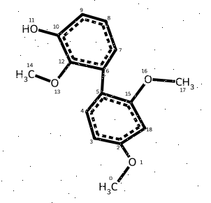 COc1ccc(-c2cccc(O)c2OC)c(OC)c1